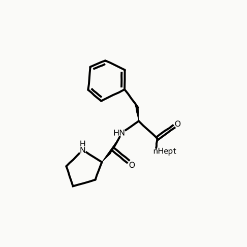 [CH2]CCCCCCC(=O)[C@H](Cc1ccccc1)NC(=O)[C@H]1CCCN1